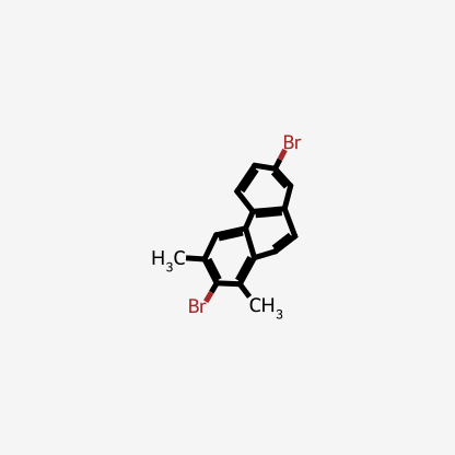 Cc1cc2c(ccc3cc(Br)ccc32)c(C)c1Br